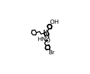 O=C(Cc1ccc(Br)cc1)Nc1ncc(-c2ccc(O)cc2)nc1CCC1CCCCC1